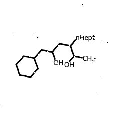 [CH2]C(O)C(CCCCCCC)CC(O)CC1CCCCC1